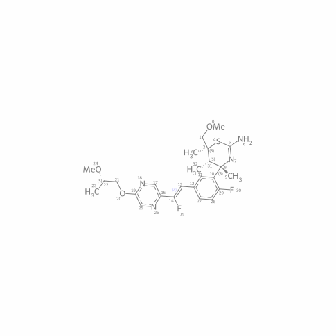 COC[C@@]1(C)SC(N)=N[C@](C)(c2cc(/C=C(\F)c3cnc(OC[C@H](C)OC)cn3)ccc2F)[C@@H]1C